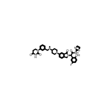 CN(Cc1cccc(N2CCC(=O)NC2=O)c1)C1CCN(c2ccc3c(c2)C(=O)N(C(C(=O)Nc2nccs2)c2cc(F)ccc2O)C3)CC1